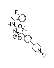 C[C@H](NC1=NS(=O)(=O)C(c2ccc(C3CCN(C4CC4)CC3)cc2)C(C)(C)O1)c1ccccc1F